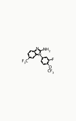 Nc1nc2ccc(C(F)(F)F)cc2n1-c1ccc(OC(F)(F)F)c(F)c1